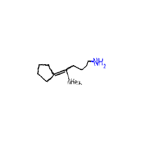 CCCCCCC(CCCN)=C1CCCC1